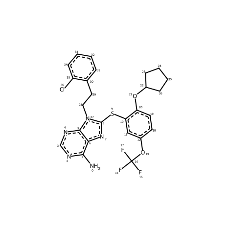 Nc1ncnc2c1nc(Sc1cc(OC(F)(F)F)ccc1OC1CCCC1)n2CCc1ccccc1Cl